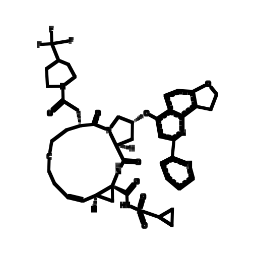 O=C1N[C@]2(C(=O)NS(=O)(=O)C3CC3)C[C@H]2/C=C\CCCCC[C@H](CC(=O)N2CCC(C(F)(F)F)CC2)C(=O)N2C[C@H](Oc3cc(-c4ccccn4)nc4c5c(ccc34)OCC5)C[C@@H]12